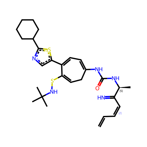 C=C/C=C\C(=N)[C@H](C)NC(=O)NC1=CC=C(c2cnc(C3CCCCC3)s2)C(SNC(C)(C)C)=CC1